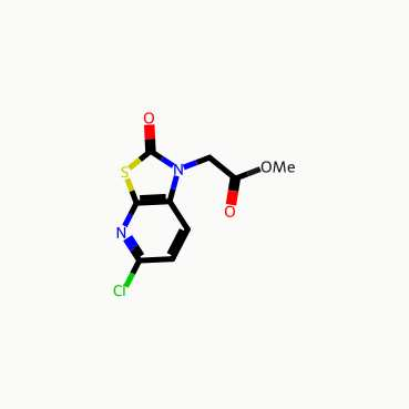 COC(=O)Cn1c(=O)sc2nc(Cl)ccc21